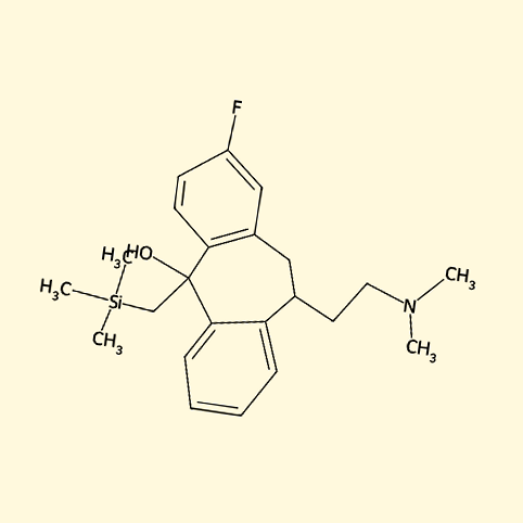 CN(C)CCC1Cc2cc(F)ccc2C(O)(C[Si](C)(C)C)c2ccccc21